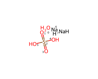 O.O=S(=O)(O)O.[NaH].[NaH]